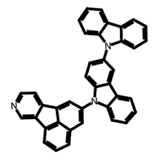 c1cc2c3c(cc(-n4c5ccccc5c5cc(-n6c7ccccc7c7ccccc76)ccc54)cc3c1)-c1ccncc1-2